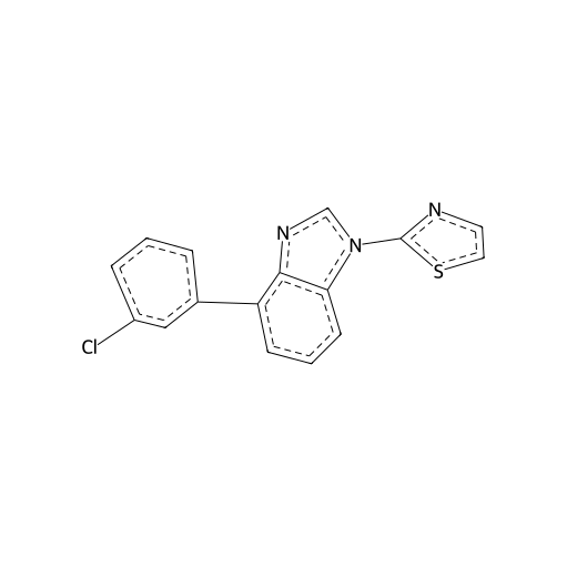 Clc1cccc(-c2cccc3c2ncn3-c2nccs2)c1